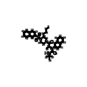 CCCCC1CN(C(=O)C(C)N(C(=O)NC(C)(C)C)c2ccc3ccccc3c2)CCN1S(=O)(=O)c1ccc2ccccc2c1